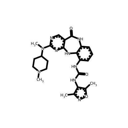 Cc1noc(C)c1NC(=O)Nc1cccc2c1Nc1nc(N(C)C3CCN(C)CC3)ncc1C(=O)N2